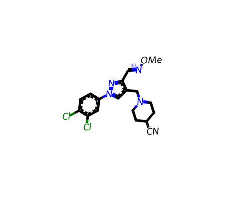 CO/N=C/c1nn(-c2ccc(Cl)c(Cl)c2)cc1CN1CCC(C#N)CC1